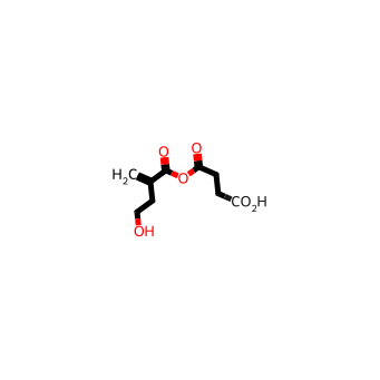 C=C(CCO)C(=O)OC(=O)CCC(=O)O